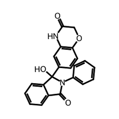 O=C1COc2ccc(C3(O)c4ccccc4C(=O)N3c3ccccc3)cc2N1